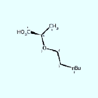 CCCCCCO[C@H](C)C(=O)O